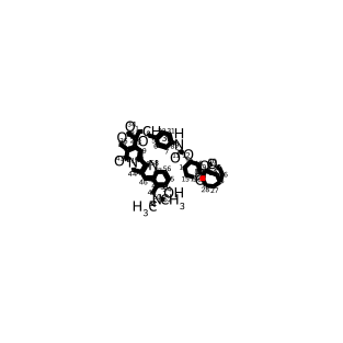 CCC1(OCc2ccc(NC(=O)OC3CCC[C@]4(C3)OOC3CC5CC(C3)CC(C5)O4)cc2)C(=O)OCc2c1cc1n(c2=O)Cc2cc3c(CN(C)C)c(O)ccc3nc2-1